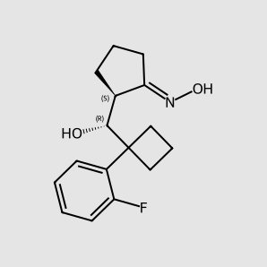 ON=C1CCC[C@@H]1[C@@H](O)C1(c2ccccc2F)CCC1